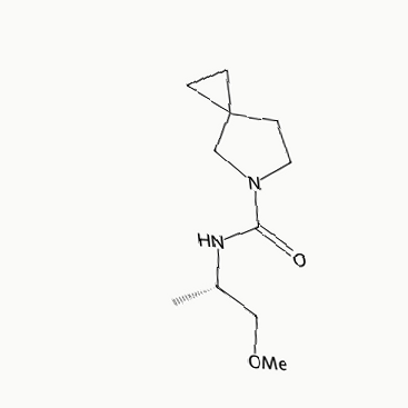 COC[C@H](C)NC(=O)N1CCC2(CC2)C1